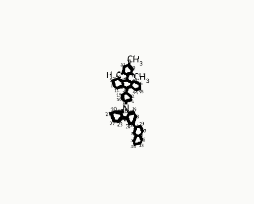 Cc1cc(C)c(-c2c3ccccc3c(-c3ccc(-n4c5ccccc5c5cc(-c6ccc7ccccc7c6)ccc54)cc3)c3ccccc23)c(C)c1